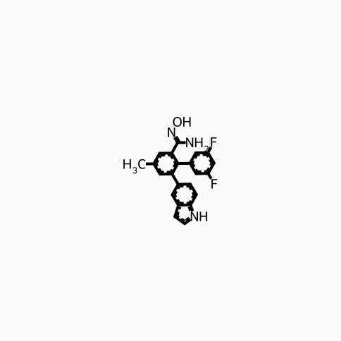 Cc1cc(/C(N)=N/O)c(-c2cc(F)cc(F)c2)c(-c2ccc3[nH]ccc3c2)c1